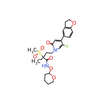 C[C@@](CCn1cc(F)c(-c2ccc3c(c2)CCO3)cc1=O)(C(=O)NOC1CCCCO1)S(C)(=O)=O